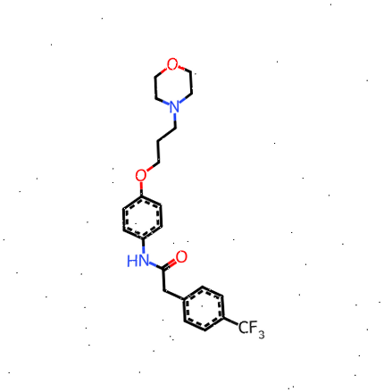 O=C(Cc1ccc(C(F)(F)F)cc1)Nc1ccc(OCCCN2CCOCC2)cc1